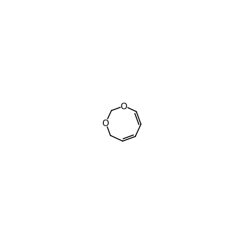 C1=C\COCO\C=C/1